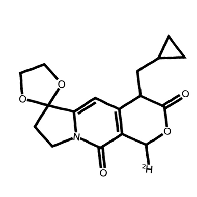 [2H]C1OC(=O)C(CC2CC2)c2cc3n(c(=O)c21)CCC31OCCO1